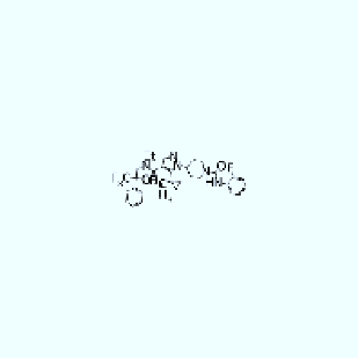 CCN(CC(C)(c1ccccc1)C(F)(F)F)C(=O)c1cnn(C2CCN(C(=O)Nc3ccccc3F)CC2)c1C1(C)CC1